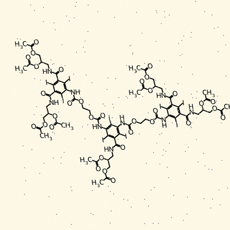 CC(=O)OCC(CNC(=O)c1c(I)c(NC(=O)OCCOC(=O)Nc2c(I)c(C(=O)NCC(COC(C)=O)OC(C)=O)c(I)c(C(=O)NCC(COC(C)=O)OC(C)=O)c2I)c(I)c(NC(=O)OCCOC(=O)Nc2c(I)c(C(=O)NCC(COC(C)=O)OC(C)=O)c(I)c(C(=O)NCC(COC(C)=O)OC(C)=O)c2I)c1I)OC(C)=O